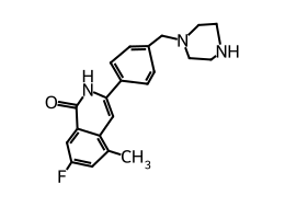 Cc1cc(F)cc2c(=O)[nH]c(-c3ccc(CN4CCNCC4)cc3)cc12